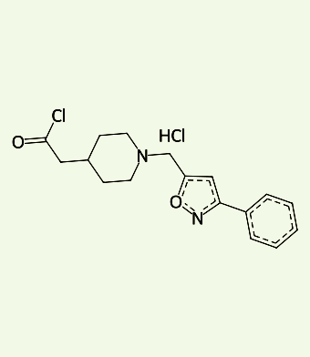 Cl.O=C(Cl)CC1CCN(Cc2cc(-c3ccccc3)no2)CC1